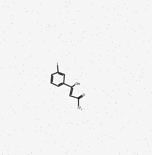 O=C(/C=C(\O)c1cccc(I)c1)C(F)(F)F